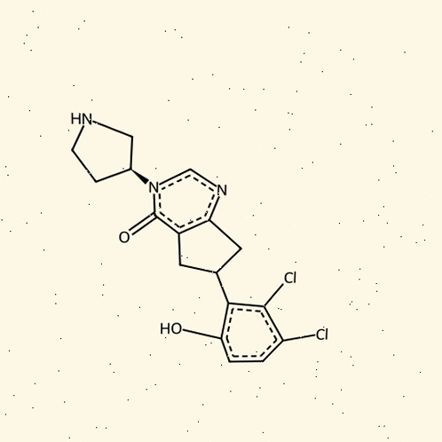 O=c1c2c(ncn1[C@H]1CCNC1)CC(c1c(O)ccc(Cl)c1Cl)C2